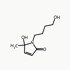 CC1(O)C=CC(=O)N1CCCCO